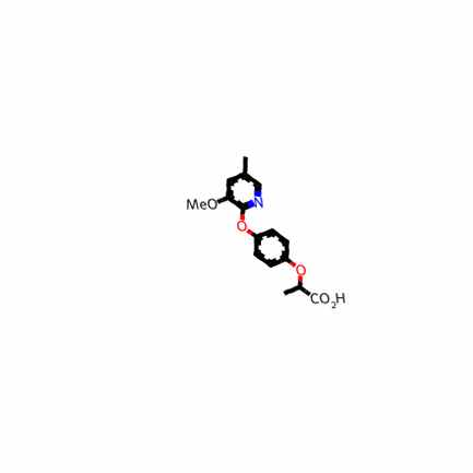 COc1cc(C)cnc1Oc1ccc(OC(C)C(=O)O)cc1